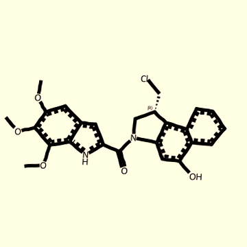 COc1cc2cc(C(=O)N3C[C@H](CCl)c4c3cc(O)c3ccccc43)[nH]c2c(OC)c1OC